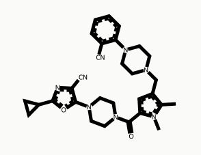 Cc1c(CN2CCN(c3ccccc3C#N)CC2)cc(C(=O)N2CCN(c3oc(C4CC4)nc3C#N)CC2)n1C